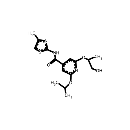 Cc1csc(NC(=O)c2cc(OC(C)C)nc(OC(C)CO)c2)n1